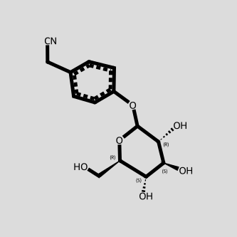 N#CCc1ccc(OC2O[C@H](CO)[C@@H](O)[C@H](O)[C@H]2O)cc1